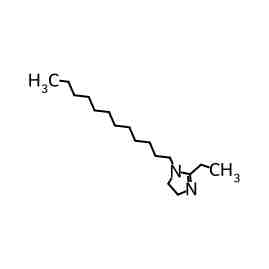 CCCCCCCCCCCCN1CCN=C1CC